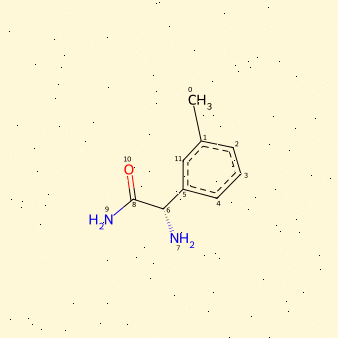 Cc1cccc([C@H](N)C(N)=O)c1